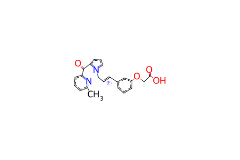 Cc1cccc(C(=O)c2cccn2C/C=C/c2cccc(OCC(=O)O)c2)n1